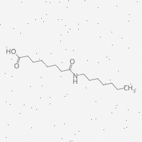 CCCCCCCNC(=O)CCCCCCC(=O)O